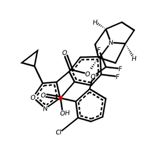 O=C(O)c1ccc(N2[C@@H]3CC[C@H]2C[C@H](OC(=O)c2c(-c4c(Cl)cccc4OC(F)F)noc2C2CC2)C3)c(F)c1